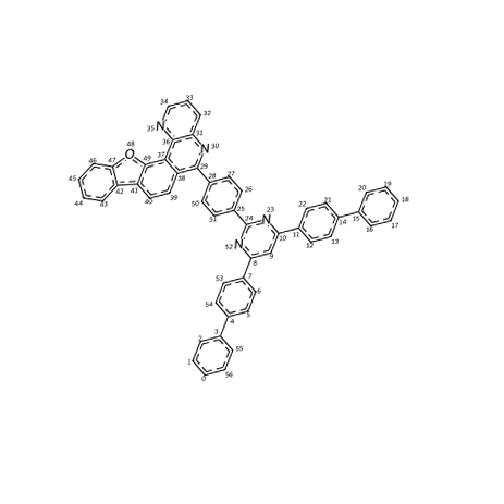 c1ccc(-c2ccc(-c3cc(-c4ccc(-c5ccccc5)cc4)nc(-c4ccc(-c5nc6cccnc6c6c5ccc5c7ccccc7oc56)cc4)n3)cc2)cc1